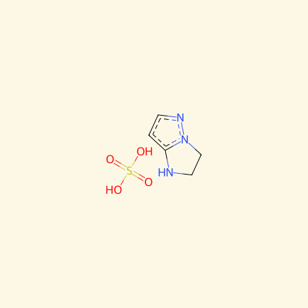 O=S(=O)(O)O.c1cc2n(n1)CCN2